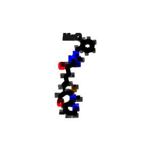 COc1ccccc1Cn1cnc(C(=O)CC/C=C/[C@H]2COc3cccnc3N(C)C2=S)n1